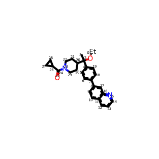 CCOC(C)(c1ccc(-c2ccc3cccnc3c2)cc1)C1CCN(C(=O)C2CC2)CC1